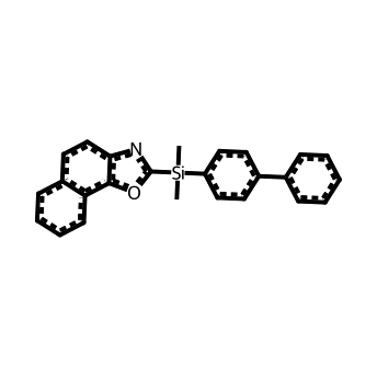 C[Si](C)(c1ccc(-c2ccccc2)cc1)c1nc2ccc3ccccc3c2o1